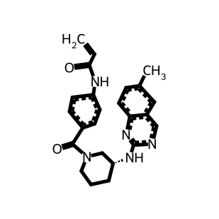 C=CC(=O)Nc1ccc(C(=O)N2CCC[C@@H](Nc3ncc4cc(C)ccc4n3)C2)cc1